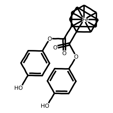 O=C(Oc1ccc(O)cc1)[C]12[CH]3[CH]4[CH]5[CH]1[Fe]45321678[CH]2[CH]1[CH]6[C]7(C(=O)Oc1ccc(O)cc1)[CH]28